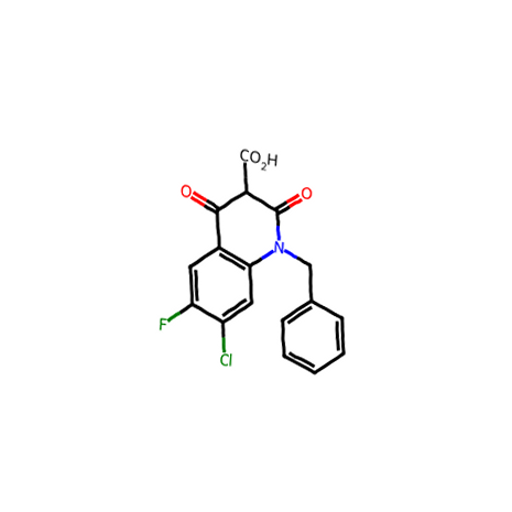 O=C(O)C1C(=O)c2cc(F)c(Cl)cc2N(Cc2ccccc2)C1=O